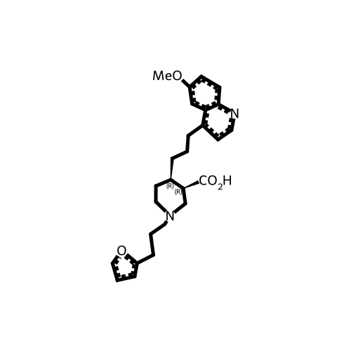 COc1ccc2nccc(CCC[C@@H]3CCN(CCCc4ccco4)C[C@@H]3C(=O)O)c2c1